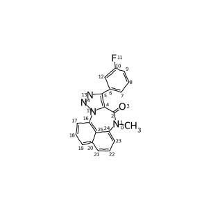 Cn1c(=O)c2c(-c3cccc(F)c3)nnn2c2cccc3cccc1c32